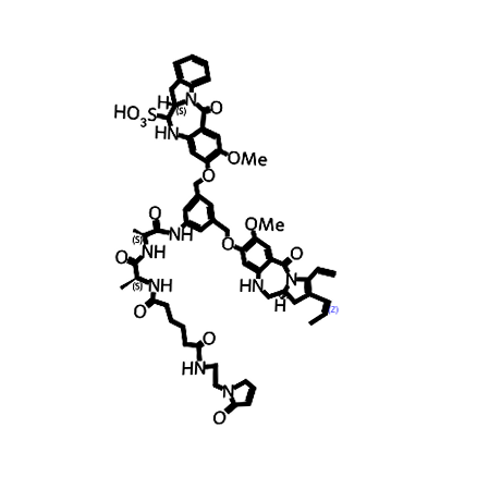 C=CC1=C(/C=C\C)C[C@H]2CNc3cc(OCc4cc(COc5cc6c(cc5OC)C(=O)N5c7ccccc7C[C@H]5C(S(=O)(=O)O)N6)cc(NC(=O)[C@H](C)NC(=O)[C@H](C)NC(=O)CCCCC(=O)NCCN5CC=CC5=O)c4)c(OC)cc3C(=O)N12